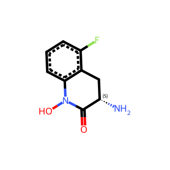 N[C@H]1Cc2c(F)cccc2N(O)C1=O